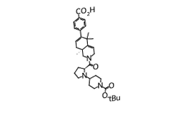 CC(C)(C)OC(=O)N1CCC(N2CCC[C@H]2C(=O)N2CC=C3C(C)(C)C(c4ccc(C(=O)O)cc4)=CC[C@]3(C)C2)CC1